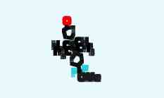 COC(F)(F)C1CCC(C(C)(C)C(C)(C)C2CCC(=O)CC2)CC1